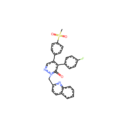 CS(=O)(=O)c1ccc(-c2cnn(Cc3ccc4ccccc4n3)c(=O)c2-c2ccc(F)cc2)cc1